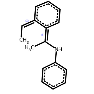 C/C=c1/cccc/c1=C(/C)Nc1ccccc1